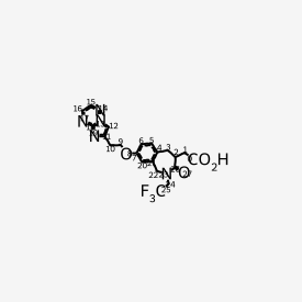 O=C(O)CC1Cc2ccc(OCCc3cn4nccnc4n3)cc2CN(CC(F)(F)F)C1=O